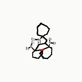 CCNC1(CC(CC2(N(CC)CC)CCCCC2)C2(N(CC)CC)CCCCCC2)CCCCCC1